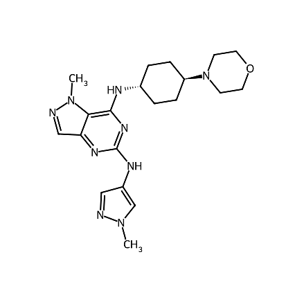 Cn1cc(Nc2nc(N[C@H]3CC[C@H](N4CCOCC4)CC3)c3c(cnn3C)n2)cn1